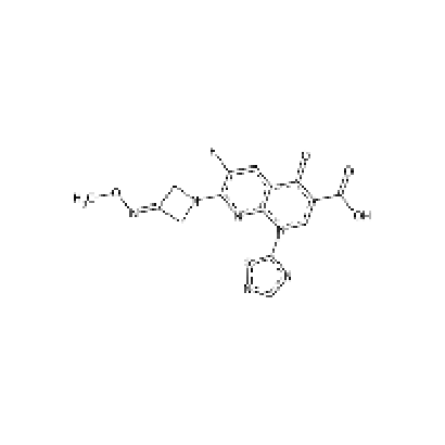 CON=C1CN(c2nc3c(cc2F)c(=O)c(C(=O)O)cn3-c2ncns2)C1